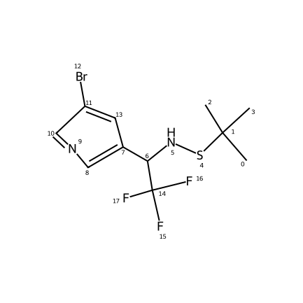 CC(C)(C)SNC(c1cncc(Br)c1)C(F)(F)F